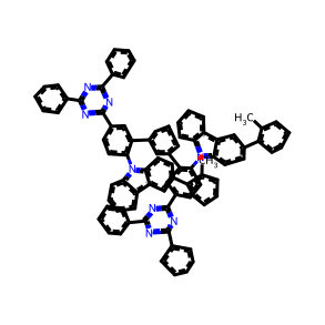 Cc1ccccc1-c1ccc2c(c1)c1ccccc1n2-c1ccc(-c2nc(-c3ccccc3)nc(-c3ccccc3)n2)cc1-c1cccc(-c2cc(-c3nc(-c4ccccc4)nc(-c4ccccc4)n3)ccc2-n2c3ccccc3c3cc(-c4ccccc4C)ccc32)c1